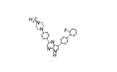 CN1CCN(c2ccc(-c3cnc4[nH]cc(-c5ccc(-c6ccccc6F)cc5)c4n3)cc2)CC1